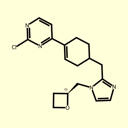 Clc1nccc(C2=CCC(Cc3nccn3C[C@@H]3CCO3)CC2)n1